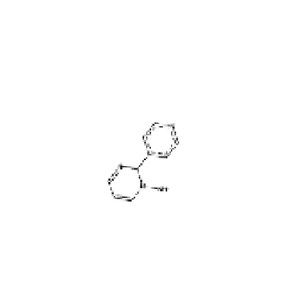 [NH]N1C=CC=NC1c1ccncc1